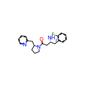 N[C@@H](CC(=O)N1CCCC1Cc1ccccn1)Cc1ccccc1F